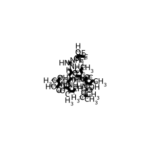 CCC(C)[C@H](NC(=O)[C@@H](CCCNC(=N)N)NC(=O)[C@H](CC(C)C)NC(=O)[C@@H](NC(=O)OC(C)(C)C)[C@H](O)C(C)C)C(=O)N[C@H](C(=O)O)[C@H](C)O.O=C(O)C(F)(F)F